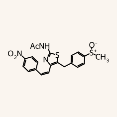 CC(=O)Nc1nc(/C=C\c2ccc([N+](=O)[O-])cc2)c(Cc2ccc([S+](C)[O-])cc2)s1